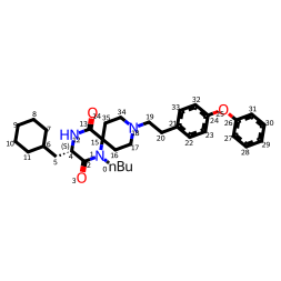 CCCCN1C(=O)[C@H](CC2CCCCC2)NC(=O)C12CCN(CCc1ccc(Oc3ccccc3)cc1)CC2